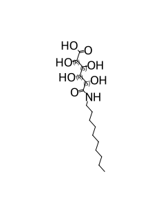 CCCCCCCCCCNC(=O)[C@@H](O)[C@H](O)[C@H](O)[C@@H](O)C(=O)O